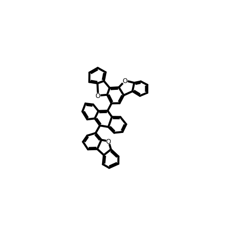 c1ccc2c(c1)oc1c(-c3c4ccccc4c(-c4cc5c6ccccc6oc5c5c4oc4ccccc45)c4ccccc34)cccc12